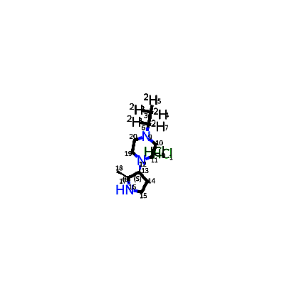 Cl.Cl.[2H]C([2H])([2H])C([2H])([2H])N1CCN([C@H]2CCN[C@H]2C)CC1